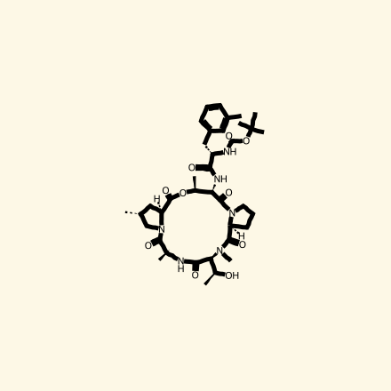 Cc1cccc(C[C@H](NC(=O)OC(C)(C)C)C(=O)N[C@@H]2C(=O)N3CCC[C@H]3C(=O)N(C)[C@@H]([C@H](C)O)C(=O)N[C@@H](C)C(=O)N3C[C@H](C)C[C@H]3C(=O)O[C@H]2C)c1